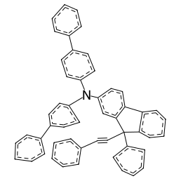 C(#CC1(c2ccccc2)c2ccccc2-c2ccc(N(c3ccc(-c4ccccc4)cc3)c3ccc(-c4ccccc4)cc3)cc21)c1ccccc1